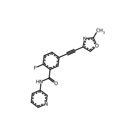 Cc1nc(C#Cc2ccc(F)c(C(=O)Nc3cccnc3)c2)co1